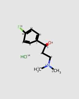 CN(C)CCC(=O)c1ccc(F)cc1.Cl